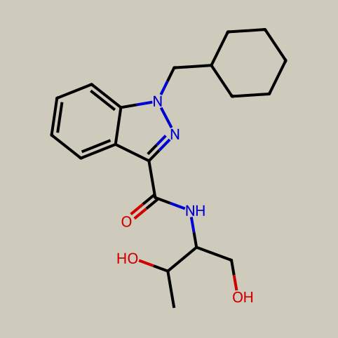 CC(O)C(CO)NC(=O)c1nn(CC2CCCCC2)c2ccccc12